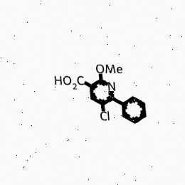 COc1nc(-c2ccccc2)c(Cl)cc1C(=O)O